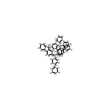 CC1(c2ccc([Si](c3ccccc3)(c3ccccc3)c3ccccc3)cc2)c2ccccc2-c2ccc(N(c3ccc(-c4ccccc4)cc3)c3ccc(-c4ccccc4)cc3)cc21